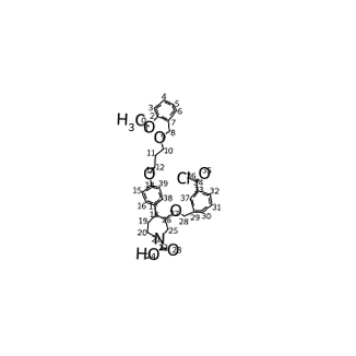 COc1ccccc1COCCCOc1ccc(C2CCN(C(=O)O)CC2OCc2cccc(C(=O)Cl)c2)cc1